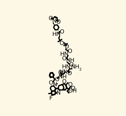 CC[C@@]1(O)C(=O)OCC2=C1/C=C1\CCC(Cc3c1nc1cc(F)c(C)c4c1c3[C@@H](N(C)C(=O)C(OCNC(=O)CNC(=O)C(CN)NC(=O)CNC(=O)CNC(=O)COC(C)(C)COC(C)(C)CCNC(=O)[C@H]1CC[C@H](CN3C(=O)C=CC3=O)CC1)c1ccccc1)CC4)C2=O